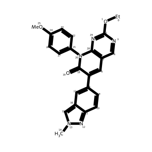 CCOc1ncc2cc(-c3ccc4nn(C)cc4c3)c(=O)n(-c3ccc(OC)cc3)c2n1